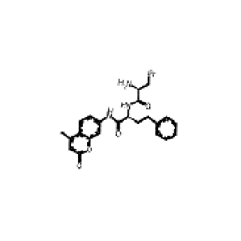 Cc1cc(=O)oc2cc(NC(=O)[C@H](CCc3ccccc3)NC(=O)[C@@H](N)CC(C)C)ccc12